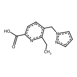 CCc1nc(C(=O)O)ccc1Cn1cccn1